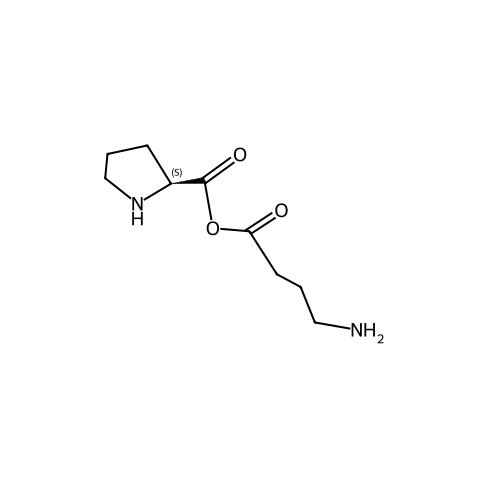 NCCCC(=O)OC(=O)[C@@H]1CCCN1